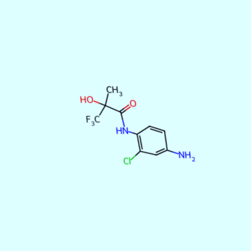 CC(O)(C(=O)Nc1ccc(N)cc1Cl)C(F)(F)F